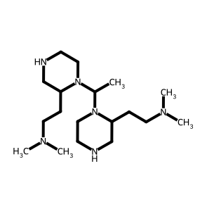 CC(N1CCNCC1CCN(C)C)N1CCNCC1CCN(C)C